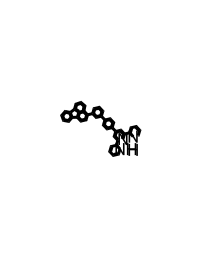 C1=CCNC(c2cc(-c3ccc(-c4cccc(-c5ccc6c7c(cccc57)-c5ccccc5-6)c4)cc3)cc(C3C=CC=CN3)n2)=C1